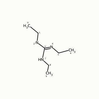 CC[N]C(=NCC)NCC